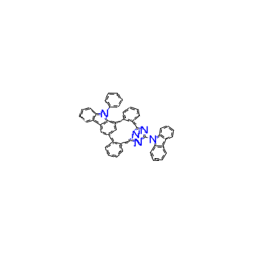 c1ccc(-n2c3ccccc3c3cc4cc(c5ccccc5c5nc(-n6c7ccccc7c7ccccc76)nc(n5)c5ccccc45)c32)cc1